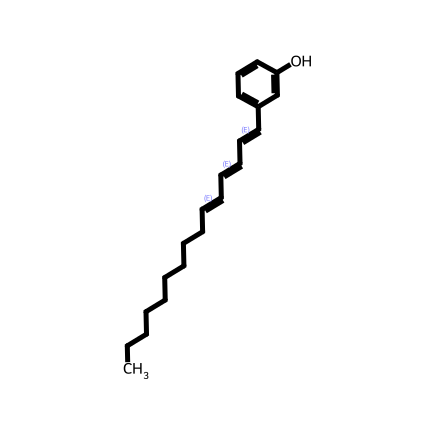 CCCCCCCCC/C=C/C=C/C=C/c1cccc(O)c1